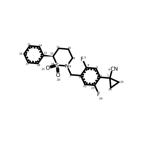 N#CC1(c2cc(F)c(CN3CCC[C@H](c4ccccc4)S3(=O)=O)cc2F)CC1